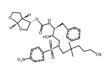 CC(C)(CCCC#N)CN(C[C@@H](O)[C@H](Cc1ccccc1)NC(=O)O[C@@H]1CO[C@@H]2OCC[C@@H]21)S(=O)(=O)c1ccc([N+](=O)[O-])cc1